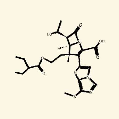 CCC(CC)C(=O)OCC[C@@]1(C)C(c2cn3cnc(SC)c3s2)=C(C(=O)O)N2C(=O)[C@H](C(C)O)[C@@H]21